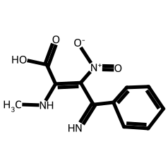 CN/C(C(=O)O)=C(\C(=N)c1ccccc1)[N+](=O)[O-]